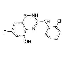 Oc1cc(F)cc2c1N=C(Nc1ccccc1Cl)NS2